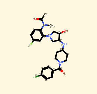 CN(C(=O)C(F)(F)F)c1ccc(F)cc1N1CC(O)C(NC2CCN(C(=O)c3ccc(Cl)cc3)CC2)C1